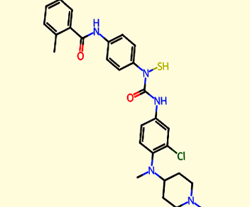 Cc1ccccc1C(=O)Nc1ccc(N(S)C(=O)Nc2ccc(N(C)C3CCN(C)CC3)c(Cl)c2)cc1